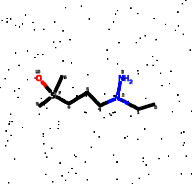 CCN(N)CCC[Si](C)(C)[O]